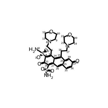 NS(=O)(=O)C1=C(CCN2CCOCC2)c2c(CCN3CCOCC3)c3c(cc2=C(S(N)(=O)=O)C1=O)C=CC(=O)C=3